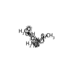 C/C=C/C(=O)N1CCC[C@@H](n2nc(-c3ccc(CNC(=O)c4ccccc4C)cc3)c3c(N)ncnc32)C1